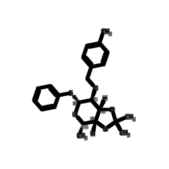 Cc1ccc(CO[C@H]2[C@@H]3OC(C)(C)O[C@@H]3[C@H](C)O[C@@H]2Sc2ccccc2)cc1